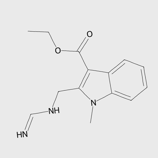 CCOC(=O)c1c(CNC=N)n(C)c2ccccc12